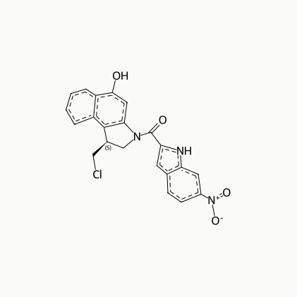 O=C(c1cc2ccc([N+](=O)[O-])cc2[nH]1)N1C[C@@H](CCl)c2c1cc(O)c1ccccc21